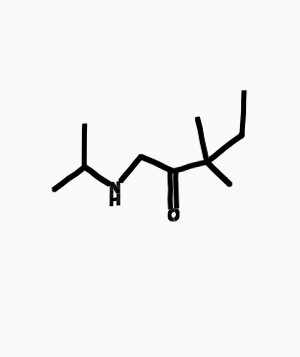 CCC(C)(C)C(=O)CNC(C)C